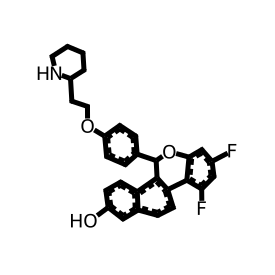 Oc1ccc2c3c(ccc2c1)-c1c(F)cc(F)cc1OC3c1ccc(OCCC2CCCCN2)cc1